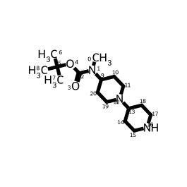 CN(C(=O)OC(C)(C)C)C1CCN(C2CCNCC2)CC1